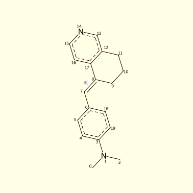 CN(C)c1ccc(/C=C2\CCCc3cnccc32)cc1